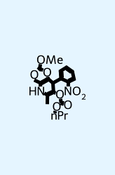 CCCOC(=O)OC1=C(C)NC(C)=C(OC(=O)OC)C1c1ccccc1[N+](=O)[O-]